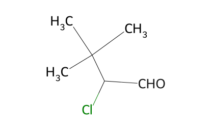 CC(C)(C)C(Cl)C=O